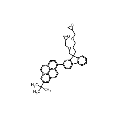 CC(C)(C)c1cc2ccc3ccc(-c4ccc5c(c4)C(CCCOCC4CO4)(COCC4CO4)c4ccccc4-5)c4ccc(c1)c2c34